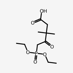 CCOP(=O)(CC(=O)C(C)(C)CC(=O)O)OCC